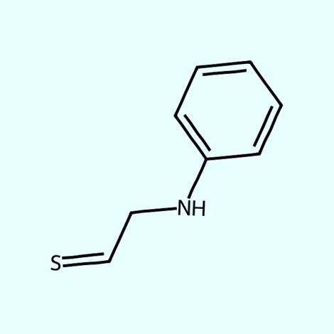 S=CCNc1ccccc1